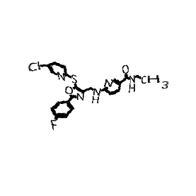 CCNC(=O)c1ccc(NCc2nc(-c3ccc(F)cc3)oc2Sc2ccc(Cl)cn2)nc1